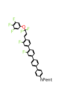 CCCCCc1ccc(-c2ccc(-c3ccc(-c4ccc(/C=C/C(F)(F)Oc5cc(F)c(F)c(F)c5)c(F)c4)c(F)c3)cc2)cc1